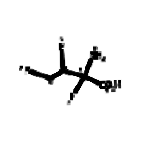 NC(F)(C(=O)O)C(F)CF